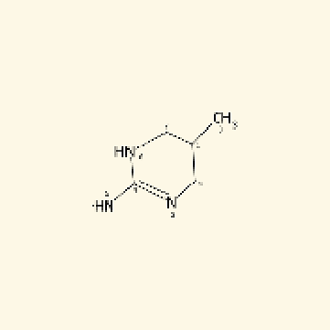 CC1CN=C([NH])NC1